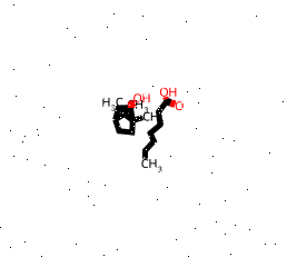 CC1(C)C2CCC1(C)C(O)C2.CCCCCCC(=O)O